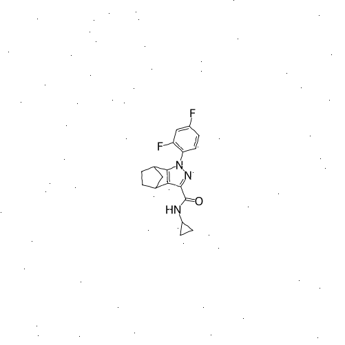 O=C(NC1CC1)c1nn(-c2ccc(F)cc2F)c2c1C1CCC2C1